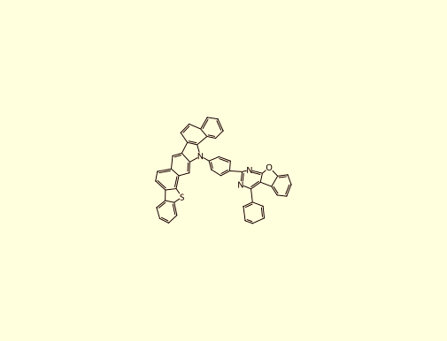 c1ccc(-c2nc(-c3ccc(-n4c5cc6c(ccc7c8ccccc8sc67)cc5c5ccc6ccccc6c54)cc3)nc3oc4ccccc4c23)cc1